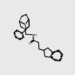 O=C(CCC1Cc2ccccc2C1)NCC1CC2CCC(C1)N2Cc1ccccc1